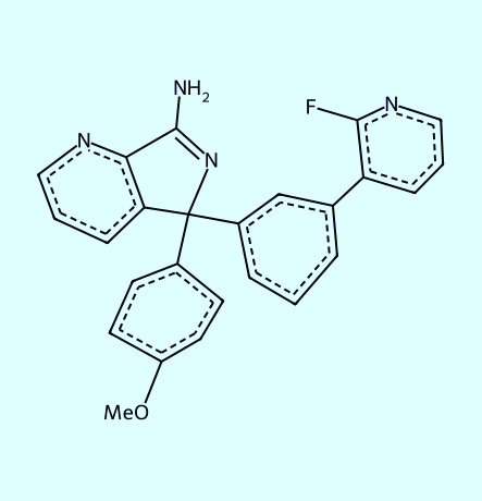 COc1ccc(C2(c3cccc(-c4cccnc4F)c3)N=C(N)c3ncccc32)cc1